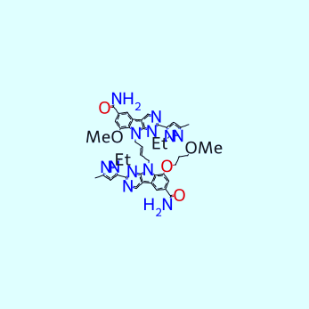 CCn1nc(C)cc1-c1ncc2c3cc(C(N)=O)cc(OC)c3n(C/C=C/Cn3c4nc(-c5cc(C)nn5CC)ncc4c4cc(C(N)=O)cc(OCCCOC)c43)c2n1